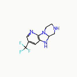 FC(F)(F)c1cnc2c(c1)NC1CNCCN21